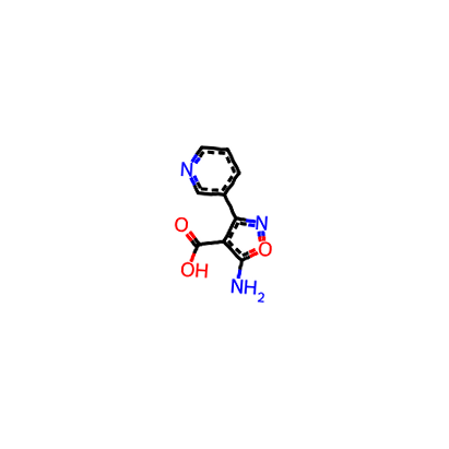 Nc1onc(-c2cccnc2)c1C(=O)O